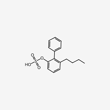 CCCCc1cccc(OS(=O)(=O)O)c1-c1ccccc1